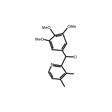 COc1cc(C(Cl)c2nccc(C)c2C)cc(OC)c1OC